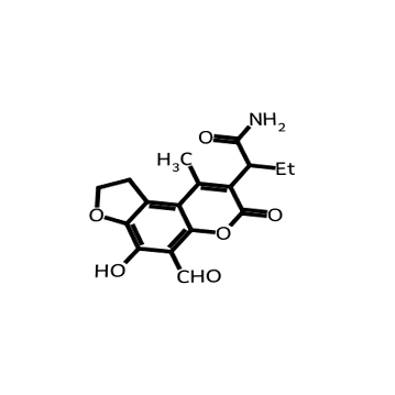 CCC(C(N)=O)c1c(C)c2c3c(c(O)c(C=O)c2oc1=O)OCC3